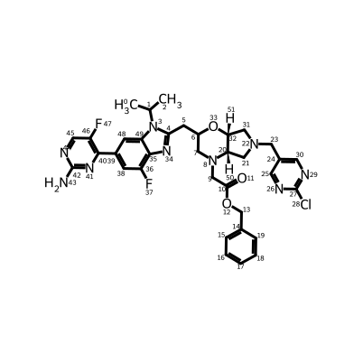 CC(C)n1c(CC2CN(CC(=O)OCc3ccccc3)[C@H]3CN(Cc4cnc(Cl)nc4)C[C@H]3O2)nc2c(F)cc(-c3nc(N)ncc3F)cc21